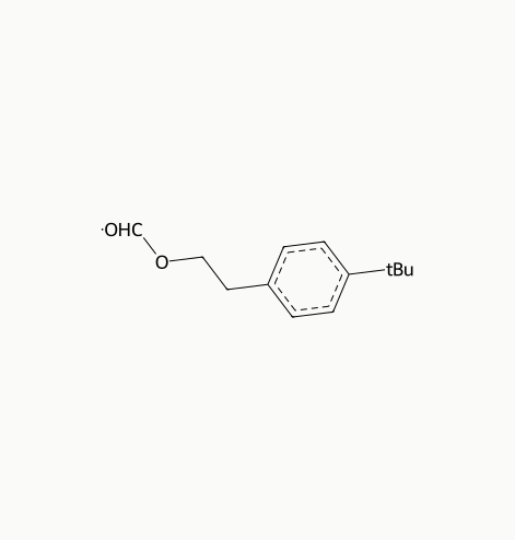 CC(C)(C)c1ccc(CCO[C]=O)cc1